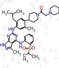 Cc1cc(Nc2nc(Nc3ccccc3S(=O)(=O)C(C)C)c3c(C)n[nH]c3n2)c(CC(C)C)cc1C1CCN(C(=O)CN2CCCCC2)CC1